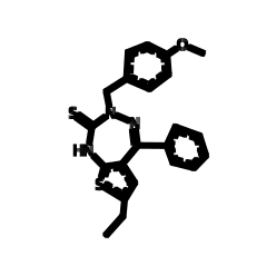 CCc1cc2c(s1)NC(=S)N(Cc1ccc(OC)cc1)N=C2c1ccccc1